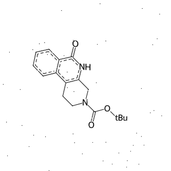 CC(C)(C)OC(=O)N1CCc2c([nH]c(=O)c3ccccc23)C1